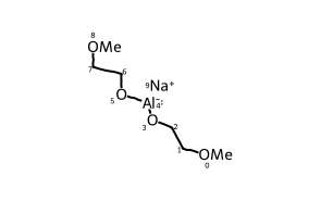 COCC[O][Al-][O]CCOC.[Na+]